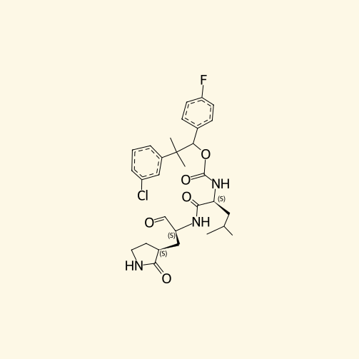 CC(C)C[C@H](NC(=O)OC(c1ccc(F)cc1)C(C)(C)c1cccc(Cl)c1)C(=O)N[C@H](C=O)C[C@@H]1CCNC1=O